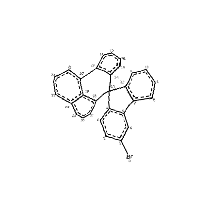 Brc1ccc2c(c1)-c1ccccc1C21c2ccccc2-c2cccc3cccc1c23